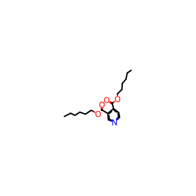 CCCCCCOC(=O)c1ccncc1C(=O)OCCCCCC